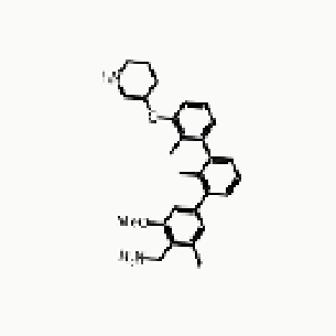 COc1cc(-c2cccc(-c3cccc(OC4CCCNC4)c3C)c2C)cc(F)c1CN